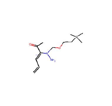 C=C/C=C(/C(C)=O)N(N)COCC[Si](C)(C)C